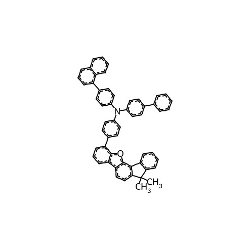 CC1(C)c2ccccc2-c2c1ccc1c2oc2c(-c3ccc(N(c4ccc(-c5ccccc5)cc4)c4ccc(-c5cccc6ccccc56)cc4)cc3)cccc21